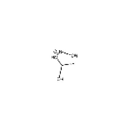 CC(O)O.O=[N+]([O-])O